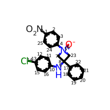 O=[N+]([O-])c1ccc([N+]2([O-])CC(Nc3ccc(Cl)cc3)(c3ccccc3)C2)cc1